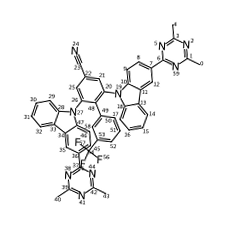 Cc1nc(C)nc(-c2ccc3c(c2)c2ccccc2n3-c2cc(C#N)cc(-n3c4ccccc4c4cc(-c5nc(C)nc(C)n5)ccc43)c2-c2cccc(C(F)(F)F)c2)n1